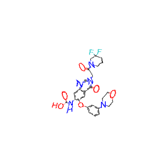 O=C(O)Nc1cc2ncn(CC(=O)N3CCCC(F)(F)C3)c(=O)c2cc1Oc1cccc(N2CCOCC2)c1